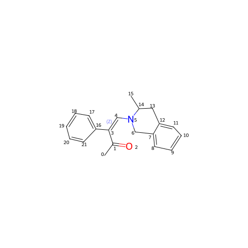 CC(=O)/C(=C\N1Cc2ccccc2CC1C)c1ccccc1